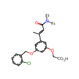 CCN(CC)C(=O)/C=C(\C)c1cc(OCC(=O)O)cc(OCc2ccccc2Cl)c1